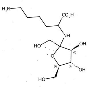 NCCCCC(NC1(CO)O[C@H](CO)[C@@H](O)[C@@H]1O)C(=O)O